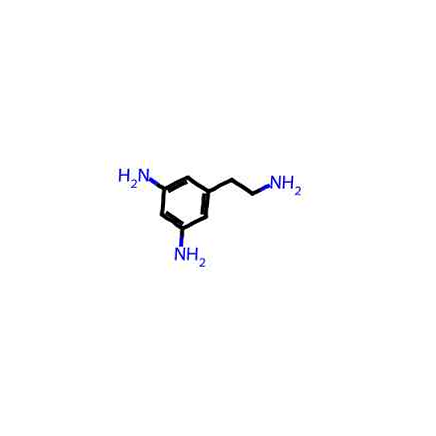 NCCc1cc(N)cc(N)c1